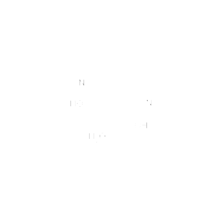 N#CC#N.O.OCCO